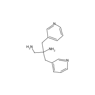 NCC(N)(Cc1cccnc1)Cc1cccnc1